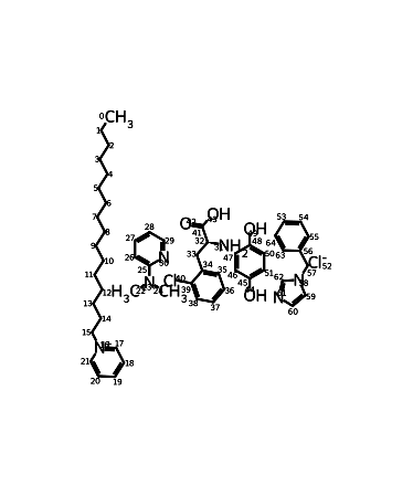 CCCCCCCCCCCCCCCC[n+]1ccccc1.CN(C)c1ccccn1.N[C@@H](Cc1ccccc1Cl)C(=O)O.Oc1ccc(O)cc1.[Cl-].c1ccc(Cn2ccnc2)cc1